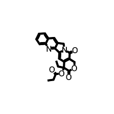 CCC(=O)OC1(CC)C(=O)OCc2c1cc1n(c2=O)Cc2cc3ccccc3nc2-1